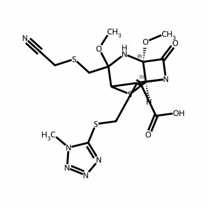 COC1(CSCC#N)N[C@@]2(OC)C(=O)N3C(C(=O)O)=C(CSc4nnnn4C)C1S[C@H]32